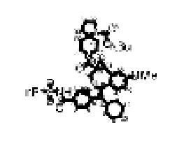 CCCS(=O)(=O)NC(=O)c1ccc2c(C3CCCCC3)c3n(c2c1)CC1(C(=O)N2CCC4(CCCN4C(=O)OC(C)(C)C)CC2)CC1c1cc(OC)ccc1-3